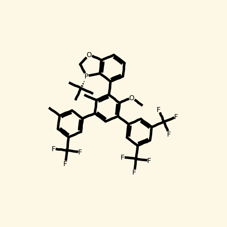 COc1c(-c2cc(C(F)(F)F)cc(C(F)(F)F)c2)cc(-c2cc(C)cc(C(F)(F)F)c2)c(C)c1-c1cccc2c1[P@](C(C)(C)C)CO2